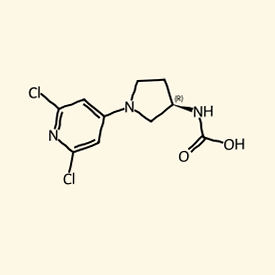 O=C(O)N[C@@H]1CCN(c2cc(Cl)nc(Cl)c2)C1